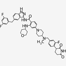 CN(Cc1ccc(C2CCC(=O)NC2=O)c(F)c1)C1CCN(c2ccc(C(=O)Nc3n[nH]c4ccc(Cc5cc(F)cc(F)c5)cc34)c(NC3CCOCC3)c2)CC1